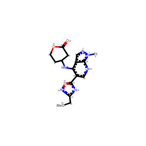 CCn1ncc2c(NC3CCOC(=O)C3)c(-c3nc(COC)no3)cnc21